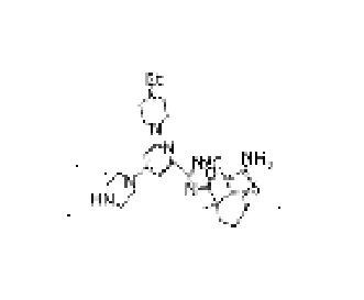 CCN1CCN(c2cc(N3CCNCC3)cc(-c3noc(C4(C)CCCc5sc(N)c(C#N)c54)n3)n2)CC1